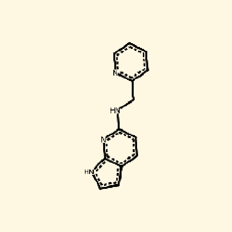 c1ccc(CNc2ccc3cc[nH]c3n2)nc1